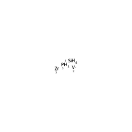 P.[SiH4].[V].[Zr]